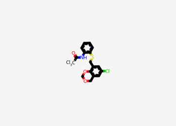 O=C(Nc1ccccc1SCc1cc(Cl)cc2c1OCOC2)C(Cl)(Cl)Cl